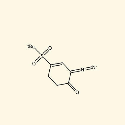 CC(C)(C)S(=O)(=O)C1=CC(=[N+]=[N-])C(=O)CC1